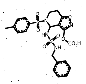 Cc1ccc(S(=O)(=O)N2CCc3onc(OC(=O)O)c3C2NS(=O)(=O)NCc2ccccc2)cc1